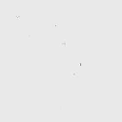 COc1ccnc(C(=O)NCC(C)(C(=O)O)[C@H]([C@H](C=O)Cc2ccccc2)[C@H](C)C(=O)C(=O)CCC=O)c1OC(C)=O